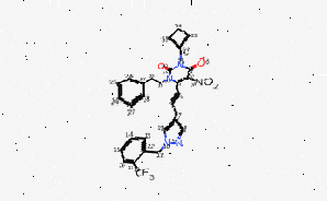 O=c1c([N+](=O)[O-])c(/C=C/c2cnn(Cc3ccccc3C(F)(F)F)c2)n(CCc2ccccc2)c(=O)n1C1CCC1